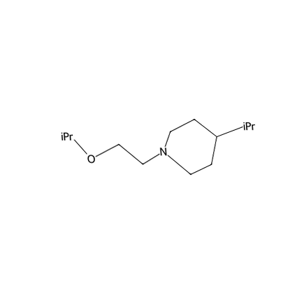 CC(C)OCCN1CCC(C(C)C)CC1